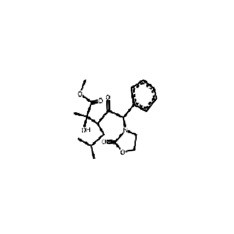 COC(=O)C(C)(O)C(CC(C)C)C(=O)C(c1ccccc1)N1CCOC1=O